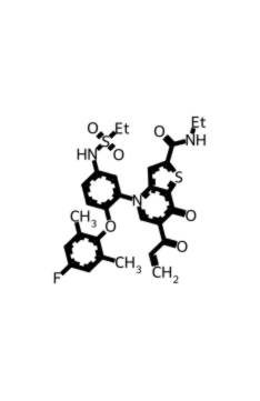 C=CC(=O)c1cn(-c2cc(NS(=O)(=O)CC)ccc2Oc2c(C)cc(F)cc2C)c2cc(C(=O)NCC)sc2c1=O